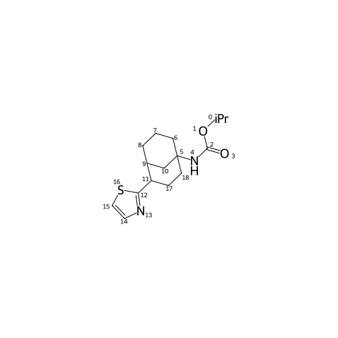 CC(C)OC(=O)NC12CCCC(C1)C(c1nccs1)CC2